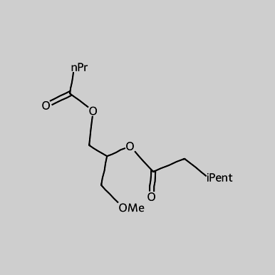 CCCC(=O)OCC(COC)OC(=O)CC(C)CCC